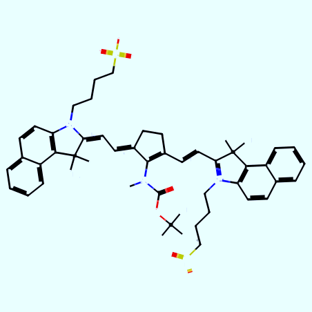 CN(C(=O)OC(C)(C)C)C1=C(/C=C/C2=[N+](CCCC[SH](=O)=O)c3ccc4ccccc4c3C2(C)C)CC/C1=C\C=C1\N(CCCCS(=O)(=O)O)c2ccc3ccccc3c2C1(C)C